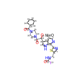 COc1cnc(-c2ncc(CNC(=O)I)s2)c2[nH]cc(C(=O)C(=O)N3CCN(C(=O)c4ccccc4)CC3)c12